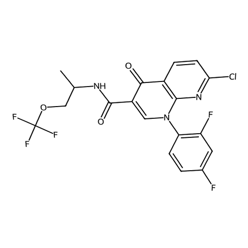 CC(COC(F)(F)F)NC(=O)c1cn(-c2ccc(F)cc2F)c2nc(Cl)ccc2c1=O